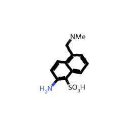 CNCc1cccc2c(S(=O)(=O)O)c(N)ccc12